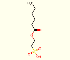 CCCCCC(=O)OCCS(=O)(=O)O